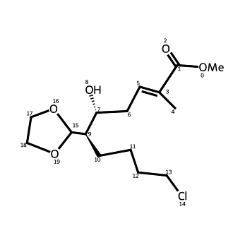 COC(=O)/C(C)=C/C[C@@H](O)[C@@H](CCCCCl)C1OCCO1